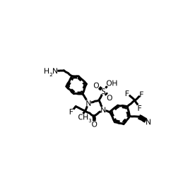 CC1(CF)C(=O)N(c2ccc(C#N)c(C(F)(F)F)c2)C(S(=O)(=O)O)N1c1ccc(CN)cc1